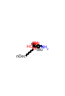 CCCCCCCCCCCCCCCCCCOC(c1c(C(C)(C)C)cc(CN)cc1C(C)(C)C)C(CO)(CO)CO